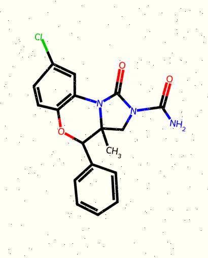 CC12CN(C(N)=O)C(=O)N1c1cc(Cl)ccc1OC2c1ccccc1